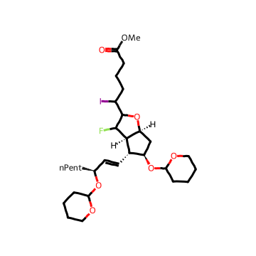 CCCCC[C@@H](C=C[C@@H]1[C@H]2C(F)C(C(I)CCCC(=O)OC)O[C@H]2C[C@H]1OC1CCCCO1)OC1CCCCO1